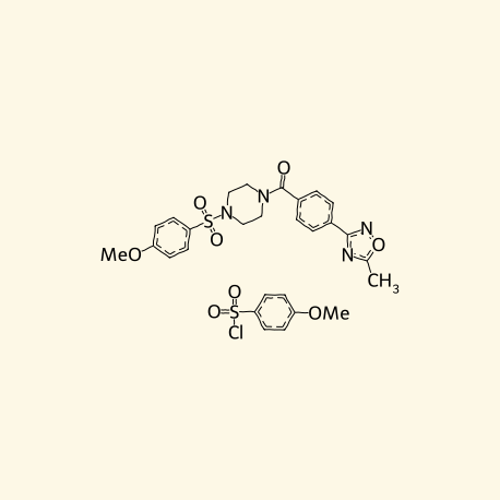 COc1ccc(S(=O)(=O)Cl)cc1.COc1ccc(S(=O)(=O)N2CCN(C(=O)c3ccc(-c4noc(C)n4)cc3)CC2)cc1